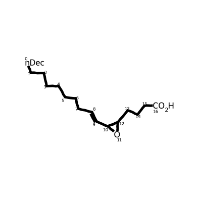 CCCCCCCCCCCCCCCCCC=CC1OC1CCCC(=O)O